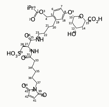 CC(C)C(=O)OCc1ccc(O[C@H]2C[C@@H](O)C[C@@H](C(=O)O)O2)cc1CCCCNC(=O)[C@H](CS(=O)(=O)O)NC(=O)CCCCCN1C(=O)C=CC1=O